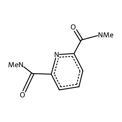 CNC(=O)c1cccc(C(=O)NC)n1